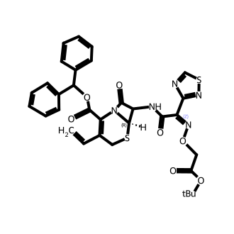 C=CC1=C(C(=O)OC(c2ccccc2)c2ccccc2)N2C(=O)C(NC(=O)/C(=N\OCC(=O)OC(C)(C)C)c3ncsn3)[C@H]2SC1